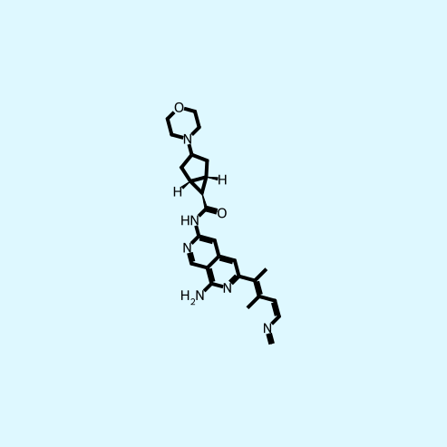 C=N/C=C\C(C)=C(/C)c1cc2cc(NC(=O)[C@H]3[C@@H]4CC(N5CCOCC5)C[C@@H]43)ncc2c(N)n1